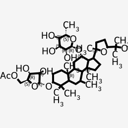 CC(=O)OC[C@@H]1O[C@@H](OC2CC[C@]3(C)C4C[C@H](O[C@@H]5O[C@@H](C)[C@H](O)[C@H](O)[C@H]5O)C5C([C@]6(C)CCC(C(C)(C)O)O6)CC[C@]5(C)C4C(C)CC3C2(C)C)[C@H](O)[C@H]1O